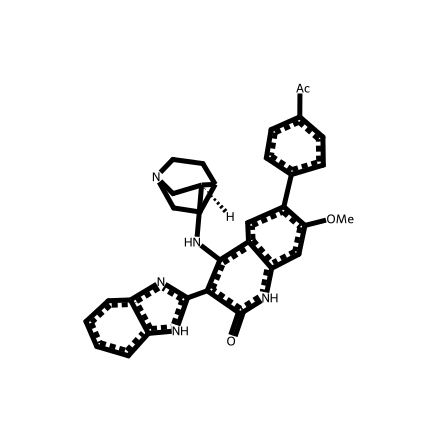 COc1cc2[nH]c(=O)c(-c3nc4ccccc4[nH]3)c(N[C@H]3CN4CCC3CC4)c2cc1-c1ccc(C(C)=O)cc1